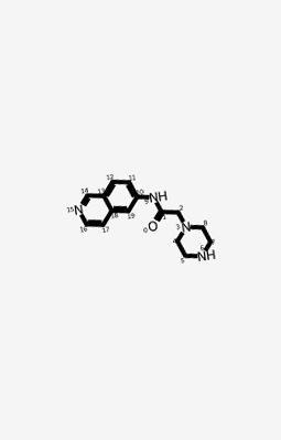 O=C(CN1CCNCC1)Nc1ccc2cnccc2c1